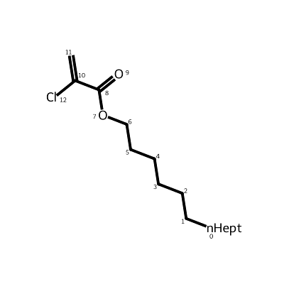 [CH2]CCCCCCCCCCCCOC(=O)C(=C)Cl